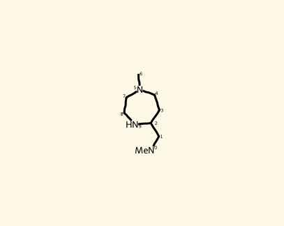 CNCC1CCN(C)CCN1